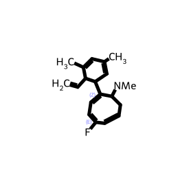 C=CC1C(C)=CC(C)=CC1/C1=C/C=C(/F)C=CCC1NC